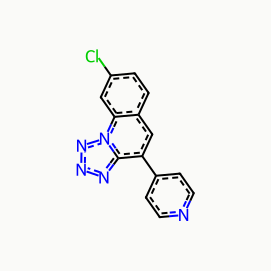 Clc1ccc2cc(-c3ccncc3)c3nnnn3c2c1